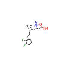 CC(CCCc1cccc(F)c1F)CC(N)CC(=O)O